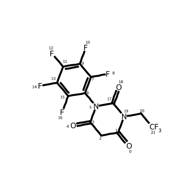 O=C1CC(=O)N(c2c(F)c(F)c(F)c(F)c2F)C(=O)N1CC(F)(F)F